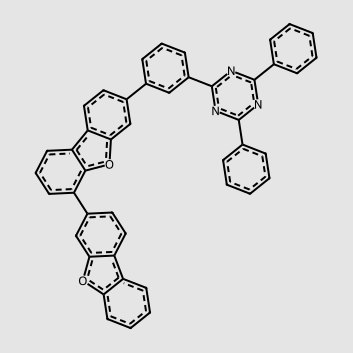 c1ccc(-c2nc(-c3ccccc3)nc(-c3cccc(-c4ccc5c(c4)oc4c(-c6ccc7c(c6)oc6ccccc67)cccc45)c3)n2)cc1